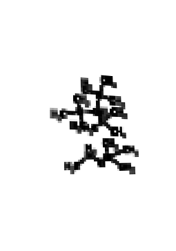 C[SiH2]O[Si](C)(C)C.C[Si](C)(C)[SiH]([Si](C)(C)C)[Si](C)(C)C